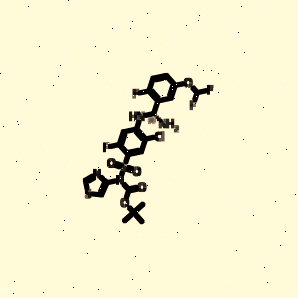 CC(C)(C)OC(=O)N(c1cscn1)S(=O)(=O)c1cc(Cl)c(N[C@@H](N)c2cc(OC(F)F)ccc2F)cc1F